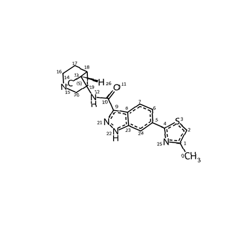 Cc1csc(-c2ccc3c(C(=O)N[C@@H]4CN5CCC4CC5)n[nH]c3c2)n1